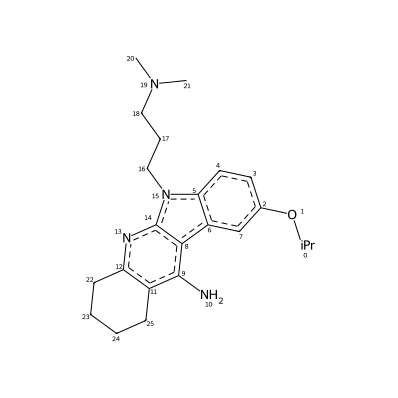 CC(C)Oc1ccc2c(c1)c1c(N)c3c(nc1n2CCCN(C)C)CCCC3